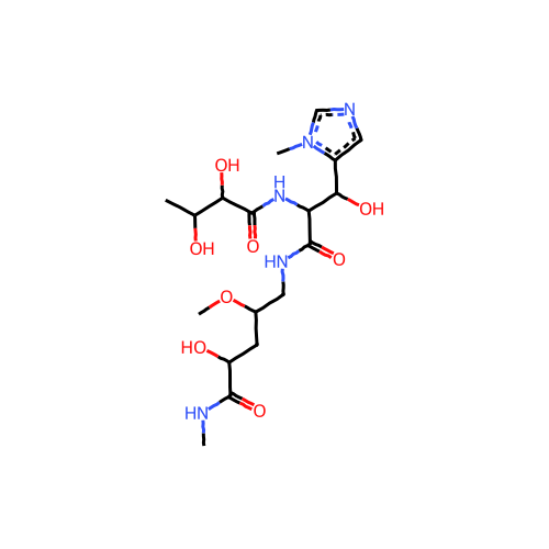 CNC(=O)C(O)CC(CNC(=O)C(NC(=O)C(O)C(C)O)C(O)c1cncn1C)OC